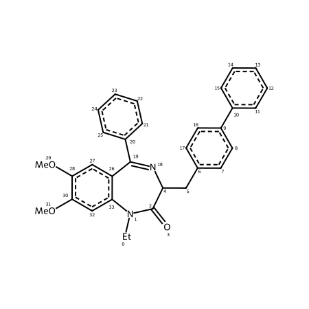 CCN1C(=O)C(Cc2ccc(-c3ccccc3)cc2)N=C(c2ccccc2)c2cc(OC)c(OC)cc21